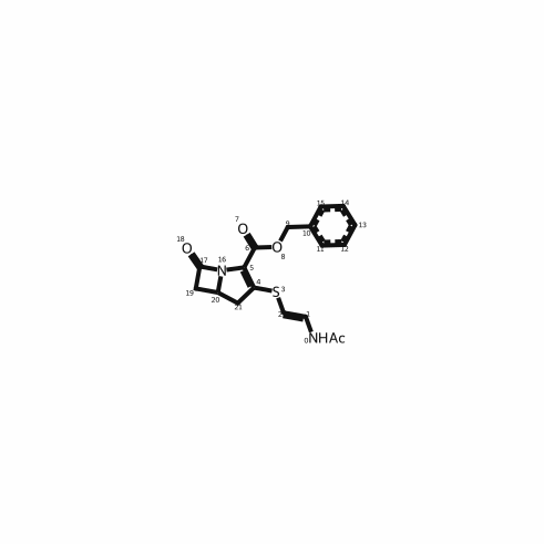 CC(=O)NC=CSC1=C(C(=O)OCc2ccccc2)N2C(=O)CC2C1